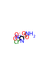 NS(=O)(=O)c1cnc(Cl)c([N+](=O)[O-])c1